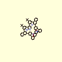 CC(C)(C)c1cc2c3c4c5cc(C(C)(C)C)cc6c7c8ccccc8cc(-c8ccc9c(c8)c8ccccc8n9-c8ccccc8)c7n(c4ncc3n3c4c(-c7ccc8c(c7)c7ccccc7n8-c7ccccc7)cc7ccccc7c4c(c1)c23)c56